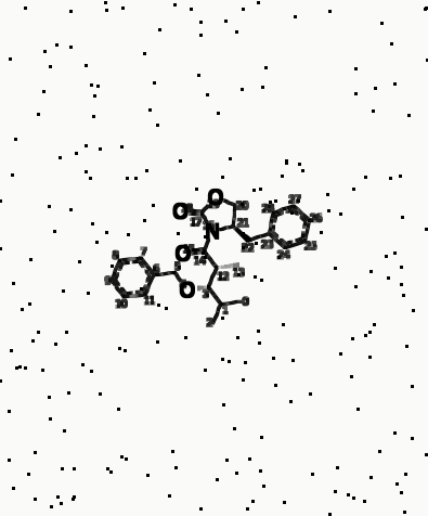 CC(C)[C@H](OCc1ccccc1)[C@@H](C)C(=O)N1C(=O)OC[C@H]1Cc1ccccc1